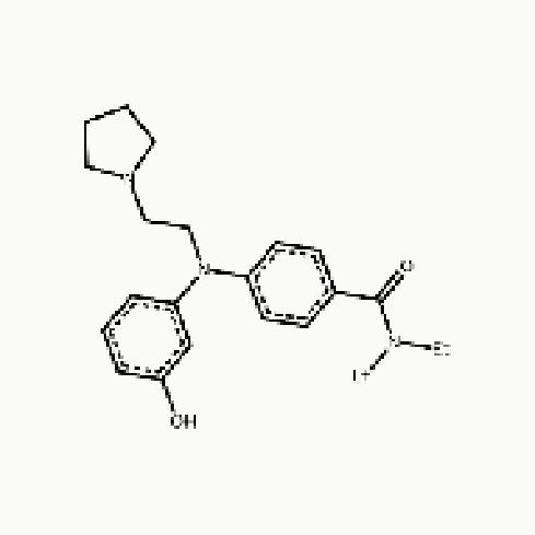 CCN(CC)C(=O)c1ccc(N(CCN2CCCC2)c2cccc(O)c2)cc1